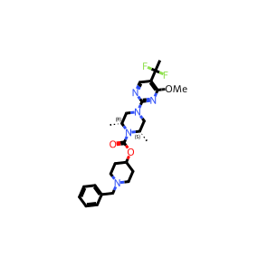 COc1nc(N2C[C@@H](C)N(C(=O)OC3CCN(Cc4ccccc4)CC3)[C@@H](C)C2)ncc1C(C)(F)F